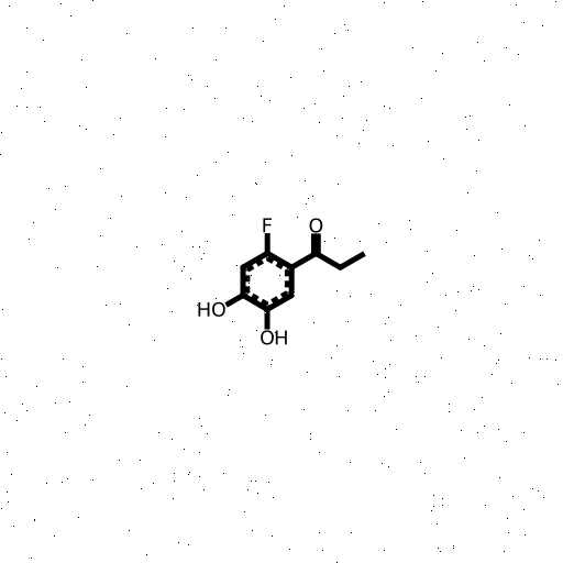 CCC(=O)c1cc(O)c(O)cc1F